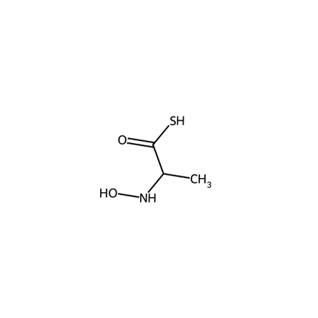 CC(NO)C(=O)S